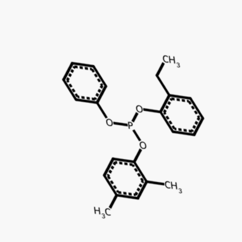 CCc1ccccc1OP(Oc1ccccc1)Oc1ccc(C)cc1C